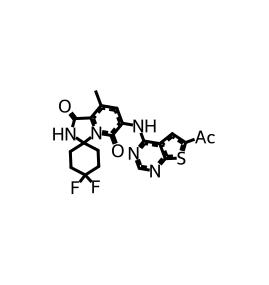 CC(=O)c1cc2c(Nc3cc(C)c4n(c3=O)C3(CCC(F)(F)CC3)NC4=O)ncnc2s1